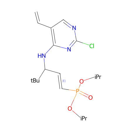 C=Cc1cnc(Cl)nc1NC(/C=C/P(=O)(OC(C)C)OC(C)C)C(C)(C)C